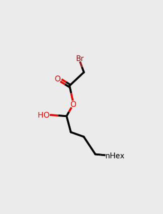 CCCCCCCCCC(O)OC(=O)CBr